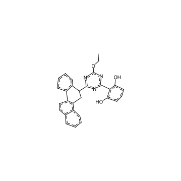 CCOc1nc(-c2c(O)cccc2O)nc(C2Cc3c(ccc4ccccc34)-c3ccccc32)n1